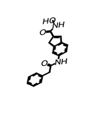 O=C(Cc1ccccc1)Nc1ccc2c(c1)CC(C(=O)NO)=C2